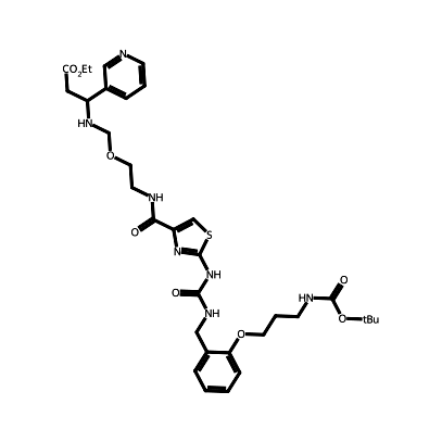 CCOC(=O)CC(NCOCCNC(=O)c1csc(NC(=O)NCc2ccccc2OCCCNC(=O)OC(C)(C)C)n1)c1cccnc1